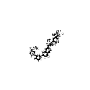 CN[C@@H]1CCN(c2cccc(-c3ccc4cnc(CNC(=O)c5cncc(S(C)(=O)=O)c5)cc4n3)n2)C1